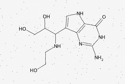 Nc1nc2c(C(NCCO)C(O)CO)c[nH]c2c(=O)[nH]1